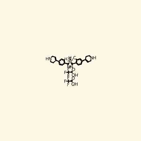 Cc1cc(C2=CCNCC2)ccc1-c1nnc(-c2ccc(C3=CCNCC3)cc2)n1C.O=C(O)C(F)(F)F.O=C(O)C(F)(F)F